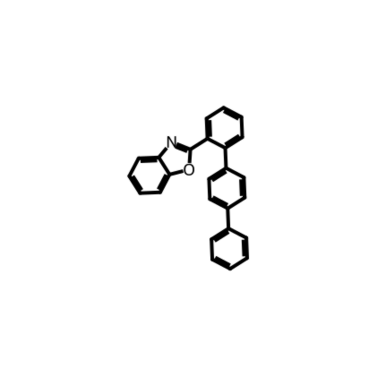 c1ccc(-c2ccc(-c3ccccc3-c3nc4ccccc4o3)cc2)cc1